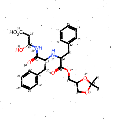 CC1(C)OCC(COC(=O)C(Cc2ccccc2)N[C@@H](Cc2ccccc2)C(=O)N[C@H](O)CC(=O)O)O1